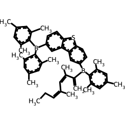 C=C(B(c1ccc2sc3ccc(B(c4c(C)cc(C)cc4C)c4c(C)cc(C)cc4C)cc3c2c1)c1c(C)cc(C)cc1C)/C(C)=C\C(C)=C/CC